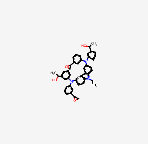 CCn1c2ccc(N(c3cccc(C(C)O)c3)c3cccc(C4CO4)c3)cc2c2cc(N(c3cccc(C(C)O)c3)c3cccc(C4CO4)c3)ccc21